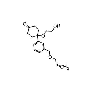 C=CCOCc1cccc(C2(OCCO)CCC(=O)CC2)c1